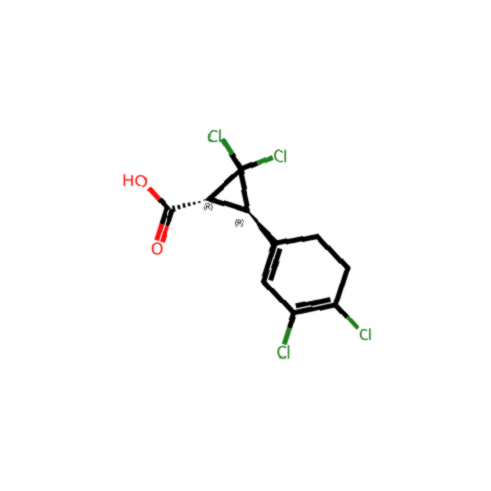 O=C(O)[C@H]1[C@H](C2=CC(Cl)=C(Cl)CC2)C1(Cl)Cl